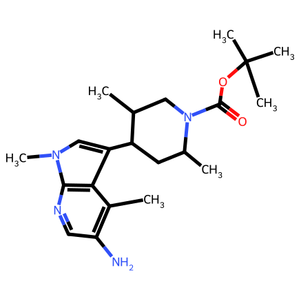 Cc1c(N)cnc2c1c(C1CC(C)N(C(=O)OC(C)(C)C)CC1C)cn2C